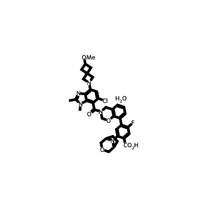 COC1CC2(C1)CN(c1cc(Cl)c(C(=O)N3COc4c(cccc4-c4cc(N5C6CCC5COC6)c(C(=O)O)cc4F)C3)c3c1nc(C)n3C)C2.O